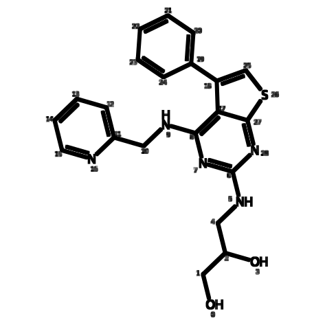 OCC(O)CNc1nc(NCc2ccccn2)c2c(-c3ccccc3)csc2n1